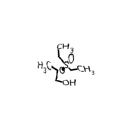 CCCO.CCS(=O)(=O)CC